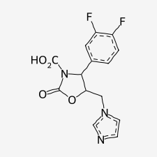 O=C(O)N1C(=O)OC(Cn2ccnc2)C1c1ccc(F)c(F)c1